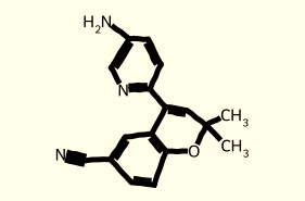 CC1(C)C=C(c2ccc(N)cn2)c2cc(C#N)ccc2O1